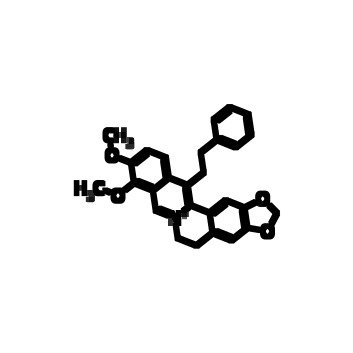 COc1ccc2c(CCc3ccccc3)c3[n+](cc2c1OC)CCc1cc2c(cc1-3)OCO2